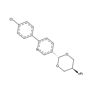 CCC[C@H]1CO[C@H](c2ccc(-c3ccc(Cl)cc3)nc2)OC1